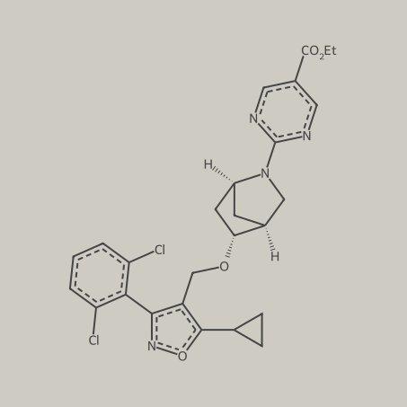 CCOC(=O)c1cnc(N2C[C@@H]3C[C@H]2C[C@H]3OCc2c(-c3c(Cl)cccc3Cl)noc2C2CC2)nc1